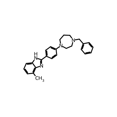 Cc1cccc2[nH]c(-c3ccc(N4CCCN(Cc5ccccc5)CC4)cc3)nc12